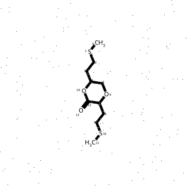 CSCCC1COC(CCSC)C(=O)O1